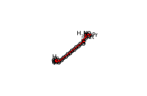 CCCN(OCC)C(=O)C1=Cc2sc(CCC3CCN(C(=O)CCOCCOCCOCCOCCOCCOCCOCCOCCOCCOCCC(=O)Oc4c(F)c(F)c([SH](=O)=O)c(F)c4F)CC3)cc2N=C(N)C1